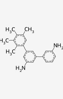 Cc1cc(-c2cc(N)cc(-c3cccc(N)c3)c2)c(C)c(C)c1C